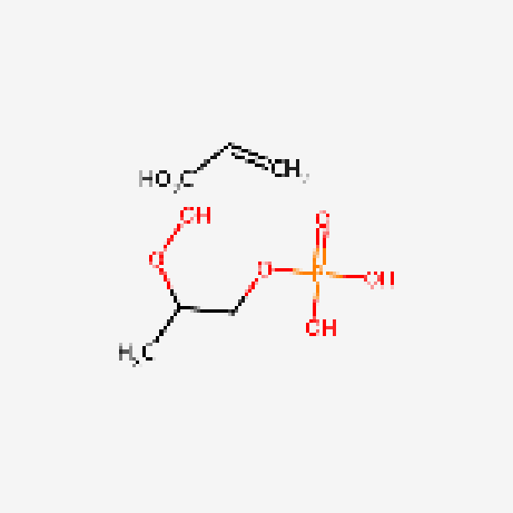 C=CC(=O)O.CC(COP(=O)(O)O)OO